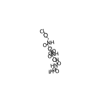 CC(C)OC(=O)CNC(=O)c1ccc(C(=O)NS(=O)(=O)c2ccc(C(=O)NCCc3ccc(Cl)cc3)cc2)cn1